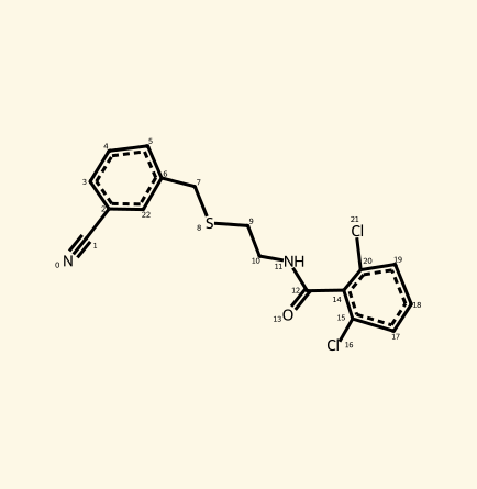 N#Cc1cccc(CSCCNC(=O)c2c(Cl)cccc2Cl)c1